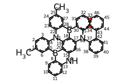 Cc1ccc2c(c1)B1c3ccccc3Nc3cc4c5c(c31)N2c1ccc(C)cc1B5c1ccccc1N4c1ccccc1-c1ccccc1